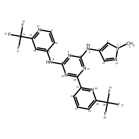 Cn1cc(Nc2nc(Nc3ccnc(C(F)(F)F)c3)nc(-c3cccc(C(F)(F)F)n3)n2)cn1